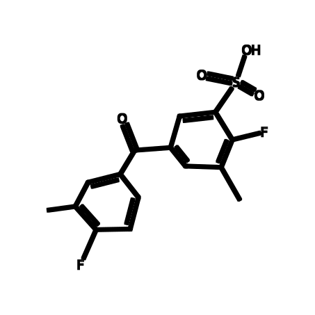 Cc1cc(C(=O)c2cc(C)c(F)c(S(=O)(=O)O)c2)ccc1F